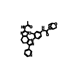 CC(=O)Nc1nc2c(s1)-c1c(c(-c3cccnc3)nn1-c1ccc(NC(=O)N3CC4CC3CO4)cc1Cl)CC2